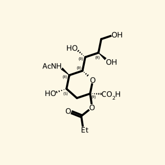 CCC(=O)O[C@@]1(C(=O)O)C[C@H](O)[C@@H](NC(C)=O)[C@H]([C@H](O)[C@H](O)CO)O1